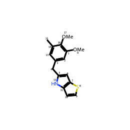 COc1cc(Cc2cc3sccc3[nH]2)cc(C)c1OC